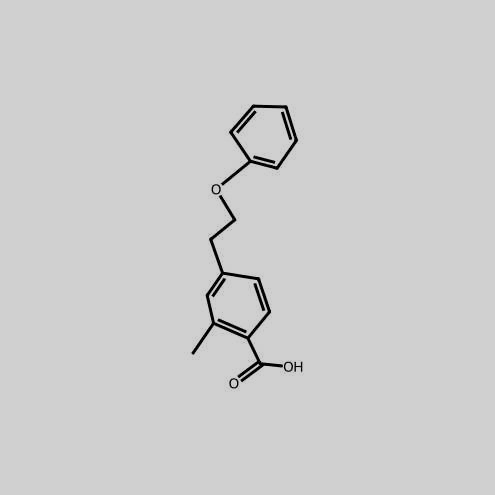 Cc1cc(CCOc2ccccc2)ccc1C(=O)O